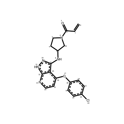 C=CC(=O)N1CCC(Nc2n[nH]c3nccc(Oc4ccc(Cl)cc4)c23)C1